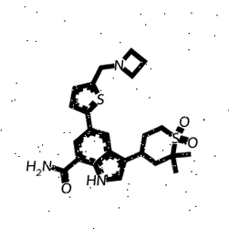 CC1(C)CC(c2c[nH]c3c(C(N)=O)cc(-c4ccc(CN5CCC5)s4)cc23)CCS1(=O)=O